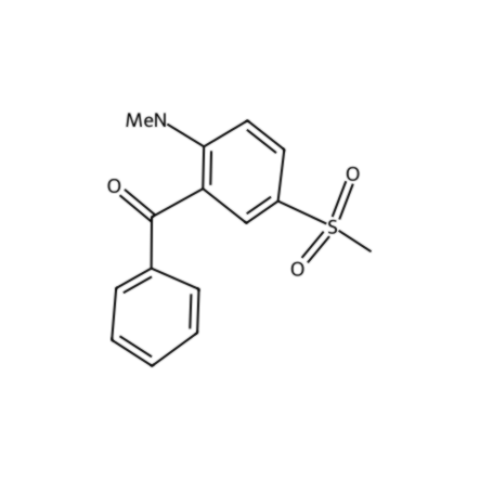 CNc1ccc(S(C)(=O)=O)cc1C(=O)c1ccccc1